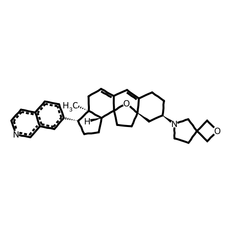 C[C@]12CC=C3C=C4CC[C@@H](N5CCC6(COC6)C5)C[C@]45CCC3(O5)[C@@H]1CC[C@@H]2c1ccc2ccncc2c1